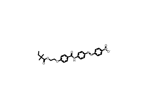 CCC(C)(C)C(=O)OCCOc1ccc(C(=O)Nc2ccc(/N=N/c3ccc([N+](=O)[O-])cc3)cc2)cc1